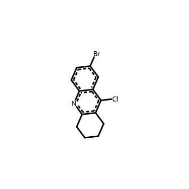 Clc1c2c(nc3ccc(Br)cc13)CCCC2